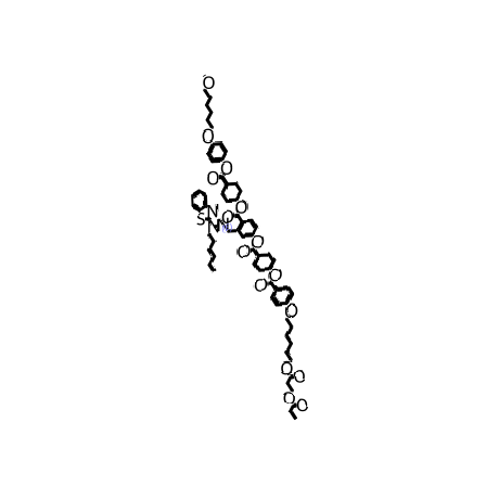 C=CC(=O)OCCC(=O)OCCCCCCOc1ccc(C(=O)OC2CCC(C(=O)Oc3ccc(C(=O)OC4CCC(C(=O)Oc5ccc(OCCCCCCOC)cc5)CC4)c(/C=N/N(CCCCCC)c4nc5ccccc5s4)c3)CC2)cc1